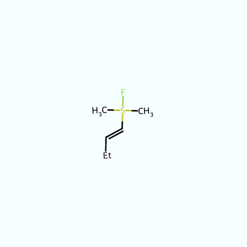 CC/C=C/S(C)(C)F